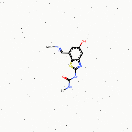 CCNC(=O)Nc1nc2cc(O)cc(/C=N/OC)c2s1